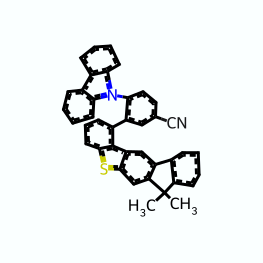 CC1(C)c2ccccc2-c2cc3c(cc21)sc1cccc(-c2cc(C#N)ccc2-n2c4ccccc4c4ccccc42)c13